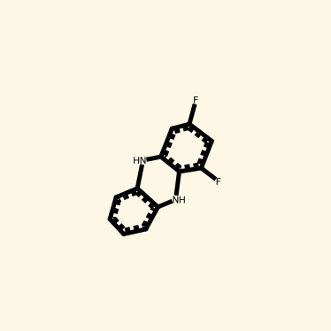 Fc1cc(F)c2c(c1)Nc1ccccc1N2